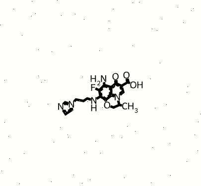 CC1COc2c(NCCCn3ccnc3)c(F)c(N)c3c(=O)c(C(=O)O)cn1c23